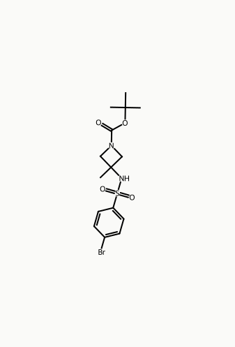 CC1(NS(=O)(=O)c2ccc(Br)cc2)CN(C(=O)OC(C)(C)C)C1